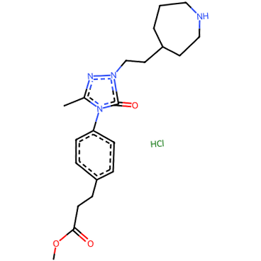 COC(=O)CCc1ccc(-n2c(C)nn(CCC3CCCNCC3)c2=O)cc1.Cl